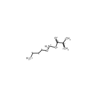 C=C(C)C(=O)O[SiH2]OCCCC